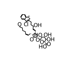 O=CCCC/C=C\C[C@H]1C(=O)C(OC2O[C@H](C(=O)O)[C@@H](O)[C@H](O)[C@H]2O)C[C@@H]1/C=C/C(O)CCc1sc2ccccc2c1Cl